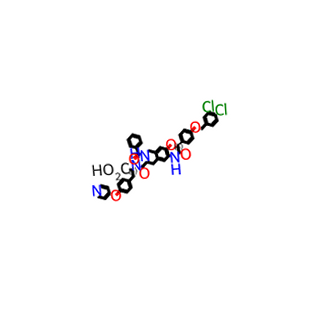 O=C(N[C@@H](Cc1ccc(Oc2ccncc2)cc1)C(=O)O)C1Cc2cc3c(cc2CN1C(=O)c1ccccc1)O[C@@H](c1ccc(OCc2ccc(Cl)c(Cl)c2)cc1)C(=O)N3